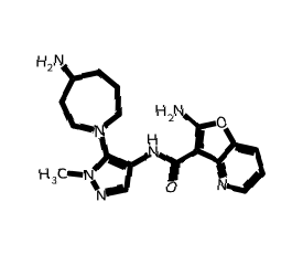 Cn1ncc(NC(=O)c2c(N)oc3cccnc23)c1N1CCCC(N)CC1